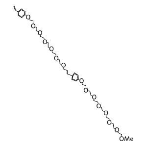 C=Cc1ccc(OCCOCCOCCOCCOCCOCCOC/C=C/c2ccc(OCCOCCOCCOCCOCCOCCOCCOC)cc2)cc1